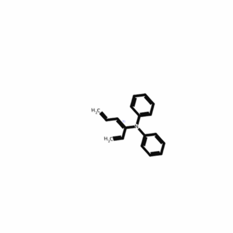 C=C/C=C(\C=C)N(c1ccccc1)c1ccccc1